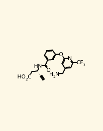 C#C[C@H](CC(=O)O)NC(=O)c1cccc(Oc2cc(CN)cc(C(F)(F)F)n2)c1